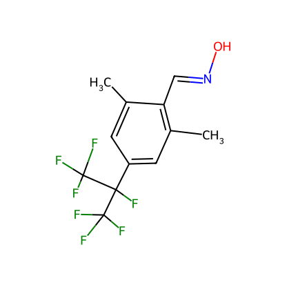 Cc1cc(C(F)(C(F)(F)F)C(F)(F)F)cc(C)c1/C=N/O